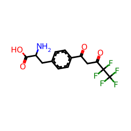 NC(Cc1ccc(C(=O)CC(=O)C(F)(F)C(F)(F)F)cc1)C(=O)O